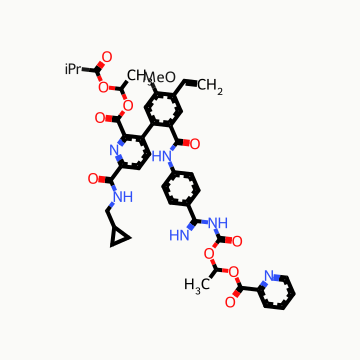 C=Cc1cc(C(=O)Nc2ccc(C(=N)NC(=O)OC(C)OC(=O)c3ccccn3)cc2)c(-c2ccc(C(=O)NCC3CC3)nc2C(=O)OC(C)OC(=O)C(C)C)cc1OC